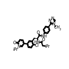 CC(C)CC(=O)N[C@@H](Cc1cc(-c2ccc(=O)n(C(C)C)c2)ccc1Cl)C(=O)Nc1ccc(-c2nncn2C)cc1